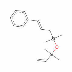 C=C[Si](C)(C)O[Si](C)(C)CC=Cc1ccccc1